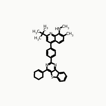 CNc1c(C)ccc2c(-c3ccc(-c4nc(C5=CCCCC5)c5sc6ccccc6c5n4)cc3)cc(C(C)(C)C)nc12